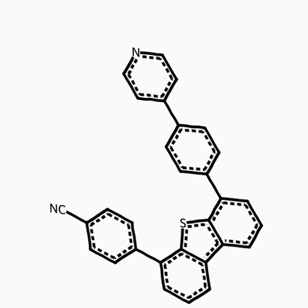 N#Cc1ccc(-c2cccc3c2sc2c(-c4ccc(-c5ccncc5)cc4)cccc23)cc1